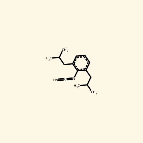 CC(C)Cc1cccc(CC(C)C)c1N=C=N